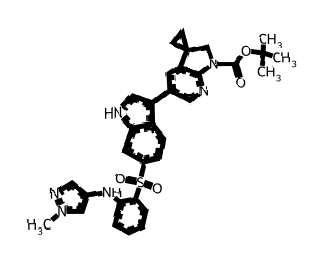 Cn1cc(Nc2ccccc2S(=O)(=O)c2ccc3c(-c4cnc5c(c4)C4(CC4)CN5C(=O)OC(C)(C)C)c[nH]c3c2)cn1